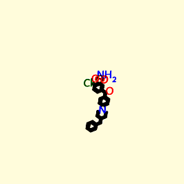 NS(=O)(=O)c1cc(C(=O)c2ccc(N3CCC(Cc4ccccc4)CC3)cc2)ccc1Cl